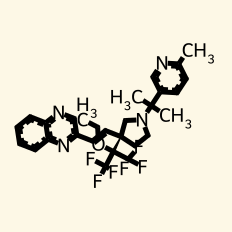 CCOC(C(F)(F)F)(C(F)(F)F)[C@]1(/C=C/c2cnc3ccccc3n2)CCN(C(C)(C)c2ccc(C)nc2)C1